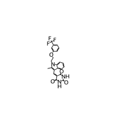 Cc1c(C=C2C(=O)NC(=O)NC2=O)c2ccccc2n1CCOc1cccc(C(F)(F)F)c1